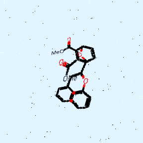 COC(=O)C1=C(C(=O)OC)C2(C(Cc3ccccc3)Oc3ccccc3)C=CC1O2